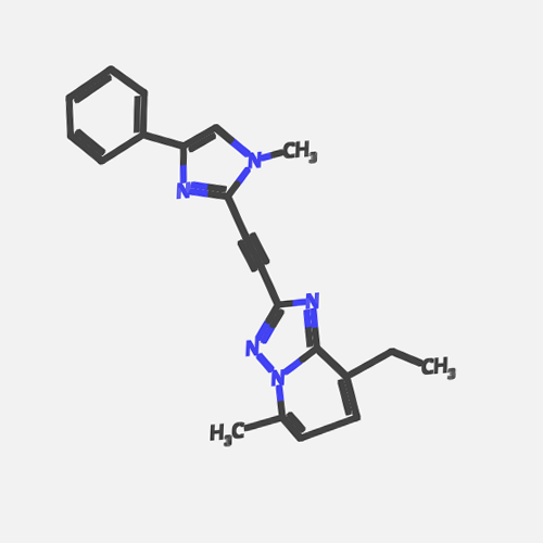 CCc1ccc(C)n2nc(C#Cc3nc(-c4ccccc4)cn3C)nc12